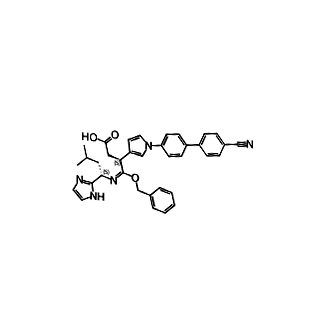 CC(C)C[C@H](N=C(OCc1ccccc1)[C@@H](CC(=O)O)c1ccn(-c2ccc(-c3ccc(C#N)cc3)cc2)c1)c1ncc[nH]1